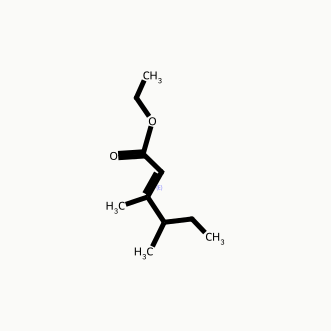 CCOC(=O)/C=C(\C)C(C)CC